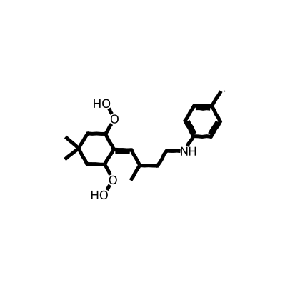 [CH2]c1ccc(NCCC(C)C=C2C(OO)CC(C)(C)CC2OO)cc1